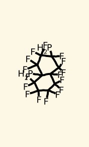 FC1(F)C(F)(F)C(F)(F)C2(P)C(F)(F)C(F)(F)C(F)(P)C(F)(F)C2(F)C1(F)F